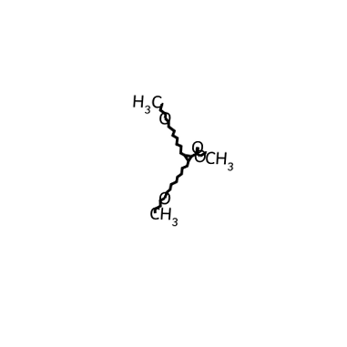 CCCCOCCCCCCCCC1C(CCCCCCCCOCCCC)C1C(=O)OCC